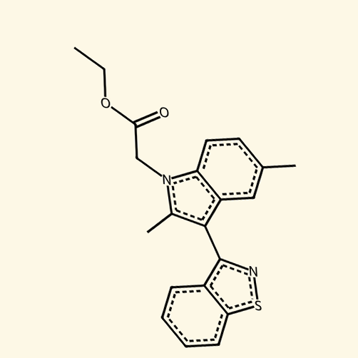 CCOC(=O)Cn1c(C)c(-c2nsc3ccccc23)c2cc(C)ccc21